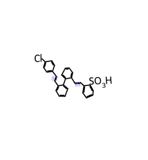 O=S(=O)(O)c1ccccc1/C=C/c1ccccc1-c1ccccc1/C=C/c1ccc(Cl)cc1